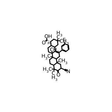 CC1(C)CC2C3=C(c4cccc(F)c4)CC4C5(C)CC(C#N)C(=O)C(C)(C)C5CCC4(C)C3(C)CCC2[C@H](C(=O)O)C1